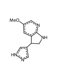 COc1cnc2c(c1)C(c1cn[nH]c1)CN2